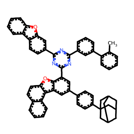 Cc1ccccc1-c1cccc(-c2nc(-c3ccc4c(c3)oc3ccccc34)nc(-c3cc(-c4ccc(C56CC7CC(CC(C7)C5)C6)cc4)cc4c3oc3ccc5ccccc5c34)n2)c1